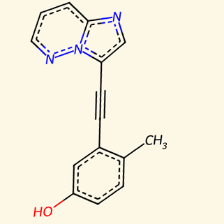 Cc1ccc(O)cc1C#Cc1cnc2cccnn12